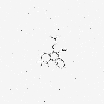 CC(=O)Oc1c(CC=C(C)C)c2c(c3c1C1CCC3C1)OC(C)(C)CC2